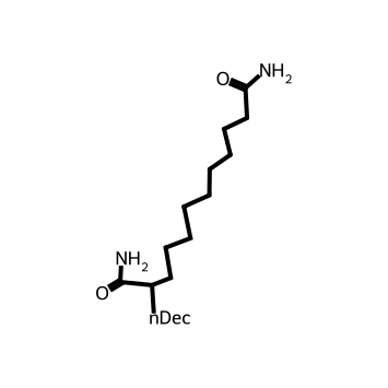 CCCCCCCCCCC(CCCCCCCCCC(N)=O)C(N)=O